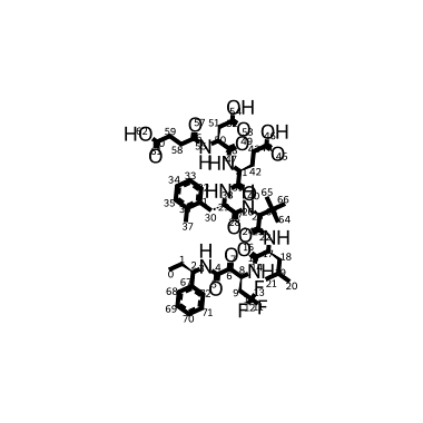 CC[C@@H](NC(=O)C(=O)[C@H](CC(F)(F)F)NC(=O)[C@H](CC(C)C)NC(=O)[C@@H](NC(=O)[C@H](Cc1ccccc1C)NC(=O)[C@H](CCC(=O)O)NC(=O)[C@H](CC(=O)O)NC(=O)CCC(=O)O)C(C)(C)C)c1ccccc1